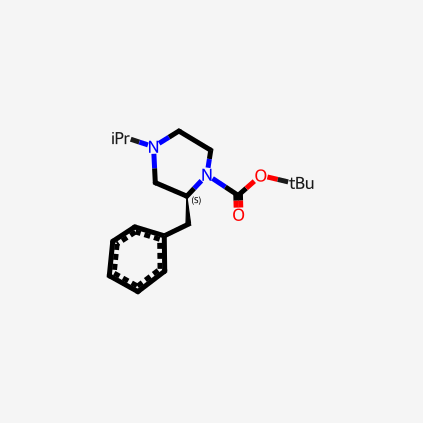 CC(C)N1CCN(C(=O)OC(C)(C)C)[C@@H](Cc2ccccc2)C1